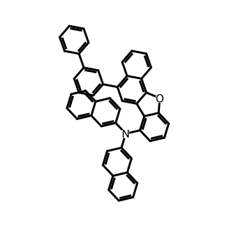 c1ccc(-c2cccc(-c3cc4c(oc5cccc(N(c6ccc7ccccc7c6)c6ccc7ccccc7c6)c54)c4ccccc34)c2)cc1